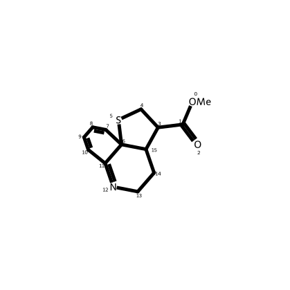 COC(=O)C1CSC23C=CC=CC2=NCCC13